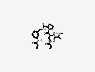 C=CC(=O)NCC(NC(=O)C(C)NC)C(=O)N1CCCC1C(=O)NCc1cccc(NC(=O)C=C)c1